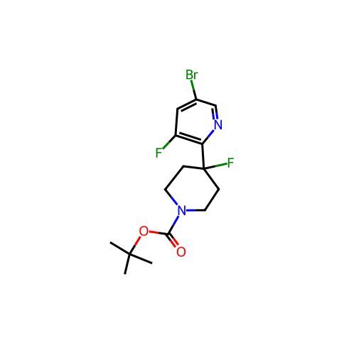 CC(C)(C)OC(=O)N1CCC(F)(c2ncc(Br)cc2F)CC1